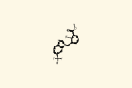 COC(=O)c1cccc(Cn2cnc3ccc(C(F)(F)F)cc32)c1F